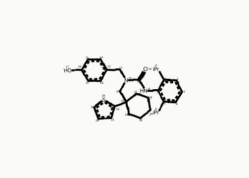 CC(C)c1cccc(C(C)C)c1NC(=O)N(Cc1ccc(O)cc1)CC1(c2cccs2)CCCCC1